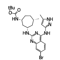 Cc1cc(Nc2nc(N[C@H]3C[C@@H](C)CC[C@@H](NC(=O)OC(C)(C)C)C3)nc3cc(Br)ccc23)n[nH]1